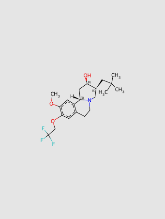 COc1cc2c(cc1OCC(F)(F)F)CCN1C[C@H](CC(C)(C)C)[C@H](O)C[C@@H]21